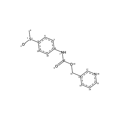 C[S+]([O-])c1ccc(NC(=O)OCc2cccnc2)cc1